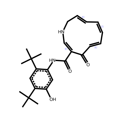 CC(C)(C)c1cc(C(C)(C)C)c(NC(=O)/C2=C/NC/C=C/C=C\C=C\C2=O)cc1O